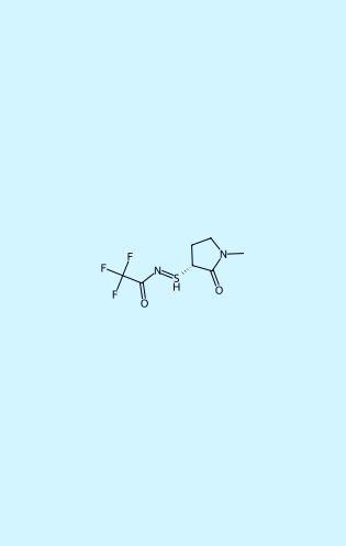 CN1CC[C@@H](/[SH]=N/C(=O)C(F)(F)F)C1=O